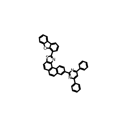 c1ccc(-c2cc(-c3ccccc3)nc(-c3ccc4c(ccc5ccc6sc(-c7cccc8c7oc7ccccc78)nc6c54)c3)n2)cc1